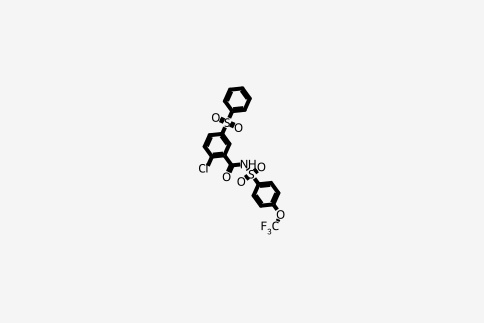 O=C(NS(=O)(=O)c1ccc(OC(F)(F)F)cc1)c1cc(S(=O)(=O)c2ccccc2)ccc1Cl